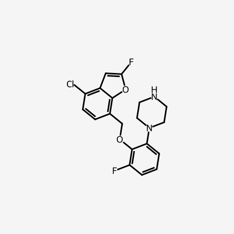 Fc1cc2c(Cl)ccc(COc3c(F)cccc3N3CCNCC3)c2o1